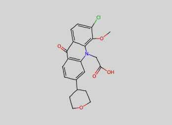 COc1c(Cl)ccc2c(=O)c3ccc(C4CCOCC4)cc3n(CC(=O)O)c12